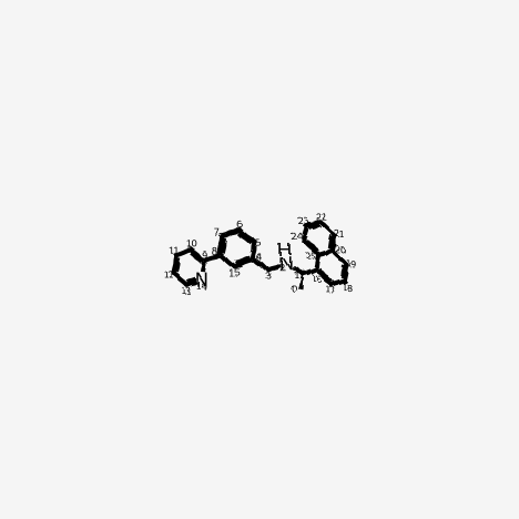 C[C@@H](NCc1cccc(-c2ccccn2)c1)c1cccc2ccccc12